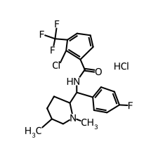 CC1CCC(C(NC(=O)c2cccc(C(F)(F)F)c2Cl)c2ccc(F)cc2)N(C)C1.Cl